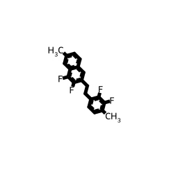 Cc1ccc2cc(CCc3ccc(C)c(F)c3F)c(F)c(F)c2c1